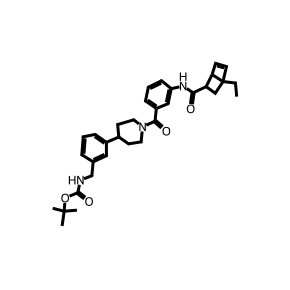 CCC12C=CC1C(C(=O)Nc1cccc(C(=O)N3CCC(c4cccc(CNC(=O)OC(C)(C)C)c4)CC3)c1)C2